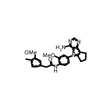 COc1cc(CC(=O)Nc2ccc(-n3c4c(c5ncnc(N)c53)CCC4)cc2OC)ccc1C